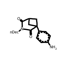 CCCCCCCCCCN1C(=O)C2CC(c3ccc(N)cc3)(C2)C1=O